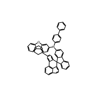 c1ccc(-c2ccc(N(c3ccc4c(c3)C3(c5ccccc5-4)c4ccc(C5CCCCC5)cc4-c4cccc5cccc3c45)c3ccc4c(c3)oc3ccccc34)cc2)cc1